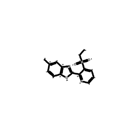 CCS(=O)(=O)c1cccnc1-c1nc2cc(C)ccc2o1